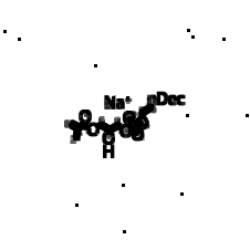 C=C(C)C(=O)OCC(O)COP(=O)([O-])OCCCCCCCCCCCC.[Na+]